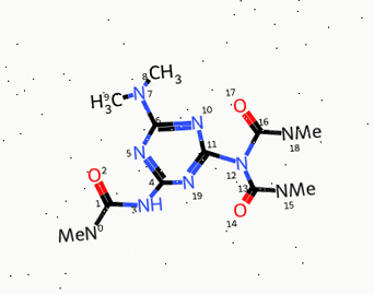 CNC(=O)Nc1nc(N(C)C)nc(N(C(=O)NC)C(=O)NC)n1